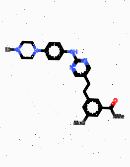 CCN1CCN(c2ccc(Nc3ncc(CCc4cc(OC)cc(C(=O)NC)c4)cn3)cc2)CC1